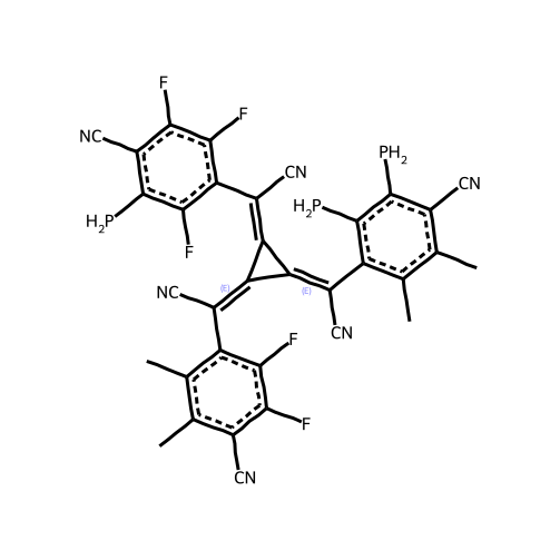 Cc1c(C)c(/C(C#N)=C2/C(=C(C#N)c3c(F)c(F)c(C#N)c(P)c3F)/C2=C(/C#N)c2c(C)c(C)c(C#N)c(P)c2P)c(F)c(F)c1C#N